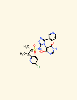 C[C@H](c1ccc(Cl)cn1)[C@H](C)S(=O)(=O)Nc1nnc(-c2cccnc2)n1-c1c(O)nc[nH]c1=O